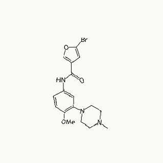 COc1ccc(NC(=O)c2coc(Br)c2)cc1N1CCN(C)CC1